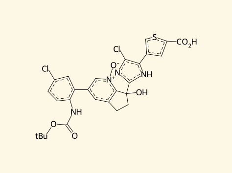 CC(C)(C)OC(=O)Nc1ccc(Cl)cc1-c1cc2c([n+]([O-])c1)C(O)(c1nc(Cl)c(-c3csc(C(=O)O)c3)[nH]1)CC2